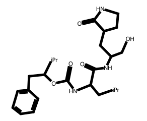 CC(C)CC(NC(=O)OC(Cc1ccccc1)C(C)C)C(=O)NC(CO)CC1CCNC1=O